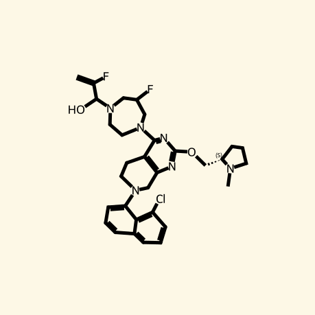 C=C(F)C(O)N1CCN(c2nc(OC[C@@H]3CCCN3C)nc3c2CCN(c2cccc4cccc(Cl)c24)C3)CC(F)C1